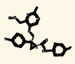 COCc1nc(C)ncc1OC[C@@]1(c2ccc(F)cc2)C[C@H]1C(=O)Nc1ccc(F)cn1